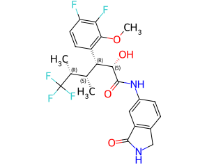 COc1c([C@@H]([C@H](C)[C@@H](C)C(F)(F)F)[C@H](O)C(=O)Nc2ccc3c(c2)C(=O)NC3)ccc(F)c1F